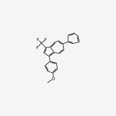 COc1ccc(-c2cc(C(F)(F)F)c3ccc(-c4ccccc4)ccc2-3)cc1